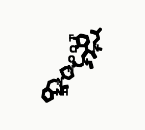 C=CN(/C=C(\C(=C)N(C)CCC(=C)C)c1cccc(F)c1Cl)CC(=O)N1CCC(N2CCc3ccccc3NC2=C)CC1